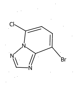 Clc1ccc(Br)c2ncnn12